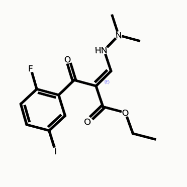 CCOC(=O)/C(=C/NN(C)C)C(=O)c1cc(I)ccc1F